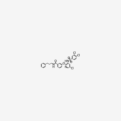 O=C(NCCCc1ccccc1)c1cccc(Oc2ncc(Cl)cc2NS(=O)(=O)c2ccc(Cl)c(Cl)c2)c1